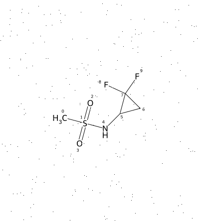 CS(=O)(=O)NC1CC1(F)F